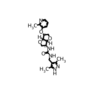 Cc1ncccc1O[C@H]1CO[C@H]2[C@@H]1OC[C@@H]2NC(=O)NCc1c(C)n[nH]c1C